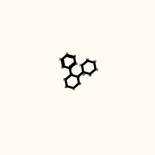 c1ccc(C2CCCCC2C2CCCCC2)cc1